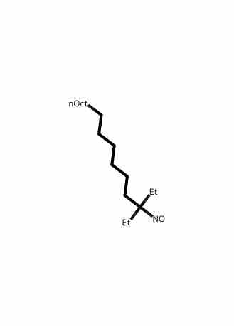 CCCCCCCCCCCCCCC(CC)(CC)N=O